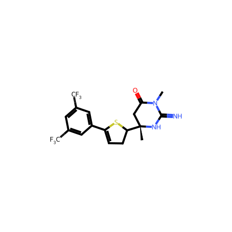 CN1C(=N)N[C@](C)(C2CC=C(c3cc(C(F)(F)F)cc(C(F)(F)F)c3)S2)CC1=O